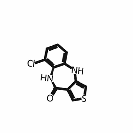 O=C1Nc2c(Cl)cccc2Nc2cscc21